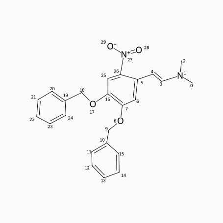 CN(C)/C=C/c1cc(OCc2ccccc2)c(OCc2ccccc2)cc1[N+](=O)[O-]